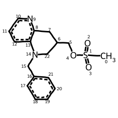 CS(=O)(=O)OCC1Cc2ncccc2N(Cc2ccccc2)C1